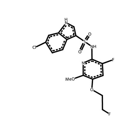 COc1nc(NS(=O)(=O)c2c[nH]c3cc(Cl)ccc23)c(F)cc1OCCF